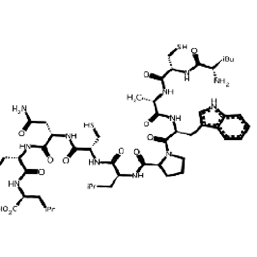 CC[C@H](C)[C@H](N)C(=O)N[C@@H](CS)C(=O)N[C@@H](C)C(=O)N[C@@H](Cc1c[nH]c2ccccc12)C(=O)N1CCC[C@H]1C(=O)N[C@@H](CC(C)C)C(=O)N[C@@H](CS)C(=O)N[C@@H](CC(N)=O)C(=O)N[C@@H](CC(C)C)C(=O)N[C@@H](CC(C)C)C(=O)O